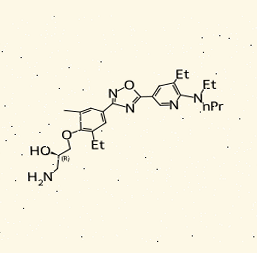 CCCN(CC)c1ncc(-c2nc(-c3cc(C)c(OC[C@H](O)CN)c(CC)c3)no2)cc1CC